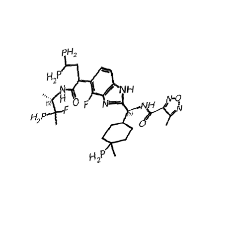 Cc1nonc1C(=O)N[C@H](c1nc2c(F)c(C(CC(P)P)C(=O)N[C@@H](C)C(C)(F)P)ccc2[nH]1)C1CCC(C)(P)CC1